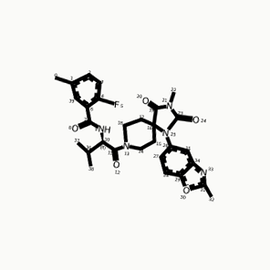 Cc1ccc(F)c(C(=O)N[C@@H](C(=O)N2CCC3(CC2)C(=O)N(C)C(=O)N3c2ccc3oc(C)nc3c2)C(C)C)c1